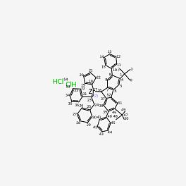 CC(C)(C)c1cc2c(cc1-c1ccccc1)[CH](/[Zr]([C]1=CC=CC1)=[C](\Cc1ccccc1)c1ccccc1)c1cc(-c3ccccc3)c(C(C)(C)C)cc1-2.Cl.Cl